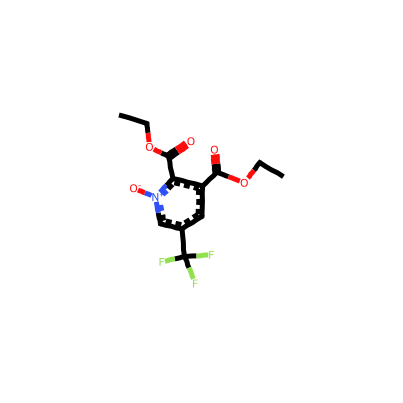 CCOC(=O)c1cc(C(F)(F)F)c[n+]([O-])c1C(=O)OCC